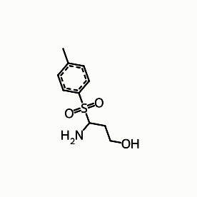 Cc1ccc(S(=O)(=O)C(N)CCO)cc1